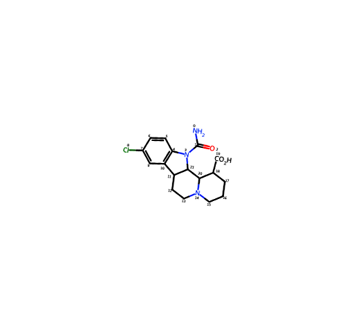 NC(=O)N1c2ccc(Cl)cc2C2CCN3CCCC(C(=O)O)C3C21